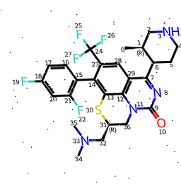 C[C@H]1CNCCC1c1nc(=O)n2c3c(c(-c4ccc(F)cc4F)c(C(F)(F)F)cc13)S[C@H](CN(C)C)C2